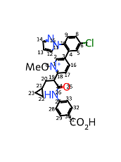 CO[n+]1cc(-c2cc(Cl)ccc2-n2cccn2)ccc1C(CC1CC1)C(=O)Nc1ccc(C(=O)O)cc1